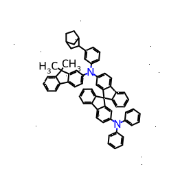 CC1(C)c2ccccc2-c2ccc(N(c3cccc(C4CC5CCC4C5)c3)c3ccc4c(c3)C3(c5ccccc5-c5ccc(N(c6ccccc6)c6ccccc6)cc53)c3ccccc3-4)cc21